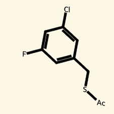 CC(=O)SCc1cc(F)cc(Cl)c1